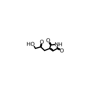 O=C(CO)CC1=CC(=O)NC1=O